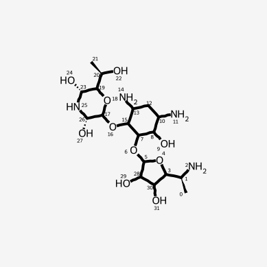 C[C@H](N)C1OC(OC2C(O)C(N)CC(N)C2OC2OC([C@@H](C)O)[C@@H](O)N[C@H]2O)C(O)C1O